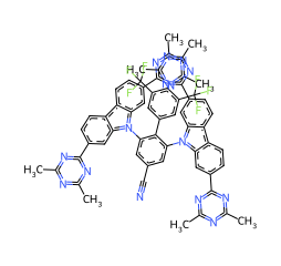 Cc1nc(C)nc(-c2ccc3c4ccc(-c5nc(C)nc(C)n5)cc4n(-c4cc(C#N)cc(-n5c6cc(-c7nc(C)nc(C)n7)ccc6c6ccc(-c7nc(C)nc(C)n7)cc65)c4-c4cc(C(F)(F)F)cc(C(F)(F)F)c4)c3c2)n1